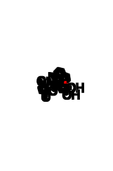 COc1ccc(OC)c([C@H]2CN(C)[C@]3(C(=O)c4cccc5cccc3c45)[C@H]2C(=O)c2ccc(O)c(O)c2)c1